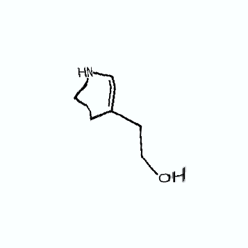 OCCC1=CNCC1